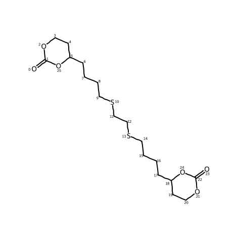 O=C1OCCC(CCCCSCCSCCCCC2CCOC(=O)O2)O1